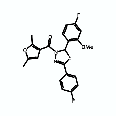 COc1cc(F)ccc1C1SC(c2ccc(F)cc2)=NN1C(=O)c1cc(C)oc1C